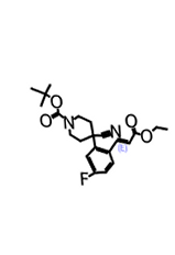 CCOC(=O)/C=C/c1ccc(F)cc1C1(C#N)CCN(C(=O)OC(C)(C)C)CC1